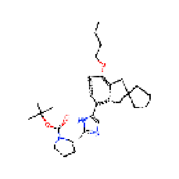 CCCCOc1ccc(-c2cnc([C@@H]3CCCN3C(=O)OC(C)(C)C)[nH]2)c2c1CC1(CCCC1)C2